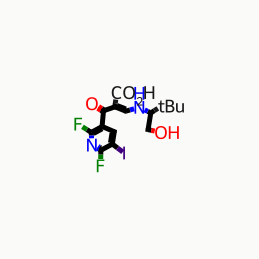 CC(C)(C)C(CO)NC=C(C(=O)O)C(=O)c1cc(I)c(F)nc1F